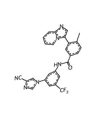 Cc1ccc(C(=O)Nc2cc(-n3cnc(C#N)c3)cc(C(F)(F)F)c2)cc1-c1cnc2ccccn12